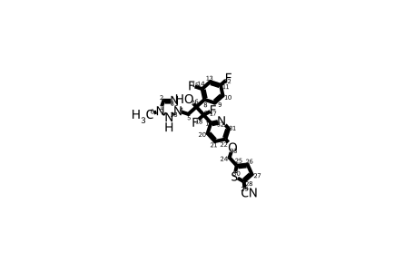 CN1C=NN(CC(O)(c2ccc(F)cc2F)C(F)(F)c2ccc(OCc3ccc(C#N)s3)cn2)N1